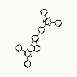 c1ccc(-c2cc(-c3ccccc3)nc(-c3cccc4c3sc3ccc(-c5ccc(-c6nc(-c7ccccc7)nc(-c7ccccc7)n6)cc5)cc34)n2)cc1